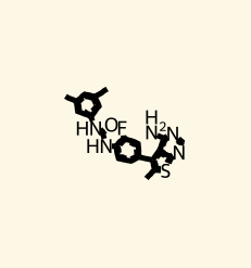 Cc1cc(C)cc(NC(=O)Nc2ccc(-c3c(C)sc4ncnc(N)c34)cc2F)c1